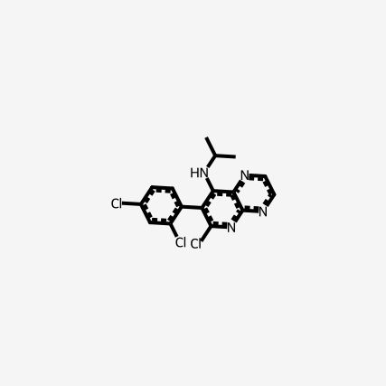 CC(C)Nc1c(-c2ccc(Cl)cc2Cl)c(Cl)nc2nccnc12